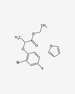 CCOC(=O)C(C)Oc1ccc(F)cc1Br.c1ccoc1